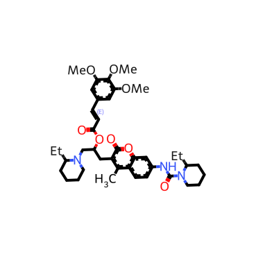 CCC1CCCCN1CC(Cc1c(C)c2ccc(NC(=O)N3CCCCC3CC)cc2oc1=O)OC(=O)/C=C/c1cc(OC)c(OC)c(OC)c1